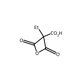 CCC1(C(=O)O)C(=O)OC1=O